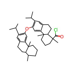 CC(C)c1cc2c(cc1Oc1cc3c(cc1C(C)C)CCC1C(C)(C(=O)Cl)CCCC31C)C1(C)CCCC(C)C1CC2